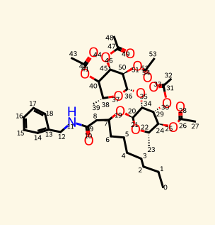 CCCCCCCC(CC(=O)NCc1ccccc1)O[C@@H]1O[C@@H](C)[C@H](OC(C)=O)[C@@H](OC(C)=O)[C@H]1O[C@@H]1O[C@H](C)C(OC(C)=O)[C@@H](OC(C)=O)[C@H]1OC(C)=O